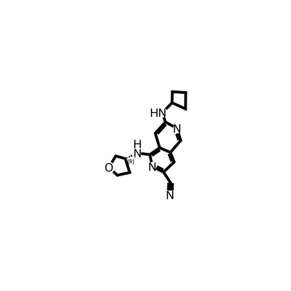 N#Cc1cc2cnc(NC3CCC3)cc2c(N[C@@H]2CCOC2)n1